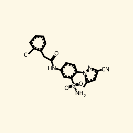 Cc1cc(C#N)nn1-c1ccc(NC(=O)Cc2ccccc2Cl)cc1S(N)(=O)=O